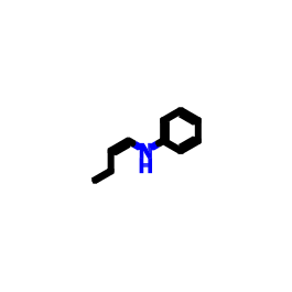 CC/C=C\Nc1ccccc1